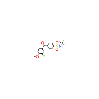 COc1ccc(C(=O)c2ccc(S(=O)(=O)NC(C)(C)C)cc2)cc1F